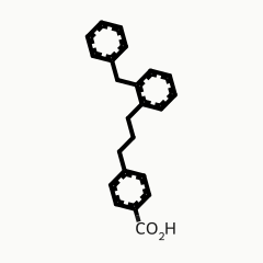 O=C(O)c1ccc(CCCc2ccccc2Cc2ccccc2)cc1